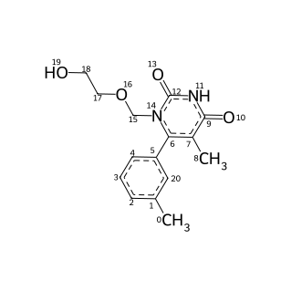 Cc1cccc(-c2c(C)c(=O)[nH]c(=O)n2COCCO)c1